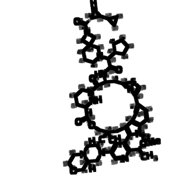 CCn1c(-c2cc(N3CCN4CCOC[C@@H]4C3)cnc2[C@H](C)OC)c2c3cc(ccc31)-c1csc(n1)C[C@H](NC(=O)C(C1CCCC1)N1CCCC3(CN(C(=O)[C@@H]4NC4C4CC4)C3)C1)C(=O)N1CCC[C@H](N1)C(=O)OCC(C)(C)C2